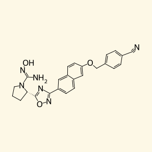 N#Cc1ccc(COc2ccc3cc(-c4noc([C@@H]5CCCN5/C(N)=N/O)n4)ccc3c2)cc1